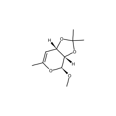 CO[C@H]1OC(C)=C[C@@H]2OC(C)(C)O[C@H]12